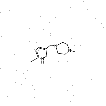 CC1=CC=C(CN2CCN(C)CC2)CN1